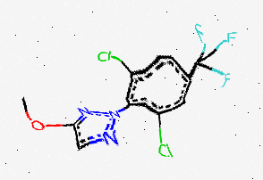 COc1cnn(-c2c(Cl)cc(C(F)(F)F)cc2Cl)n1